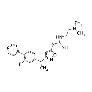 CC(c1ccc(-c2ccccc2)c(F)c1)c1cc(NC(=N)NCCN(C)C)on1